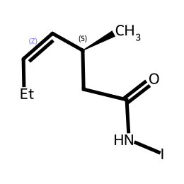 CC/C=C\[C@@H](C)CC(=O)NI